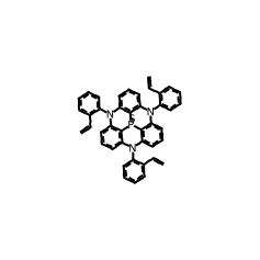 C=Cc1ccccc1N1c2cccc3c2P2(=S)c4c1cccc4N(c1ccccc1C=C)c1cccc(c12)N3c1ccccc1C=C